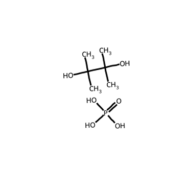 CC(C)(O)C(C)(C)O.O=P(O)(O)O